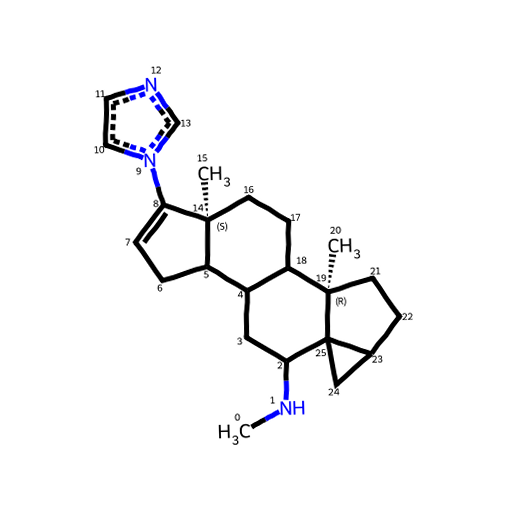 CNC1CC2C3CC=C(n4ccnc4)[C@@]3(C)CCC2[C@@]2(C)CCC3CC312